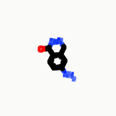 Nc1ccc2c(c1)CN=NC2=O